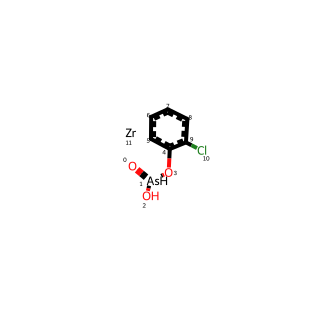 O=[AsH](O)Oc1ccccc1Cl.[Zr]